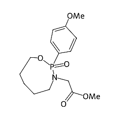 COC(=O)CN1CCCCCOP1(=O)c1ccc(OC)cc1